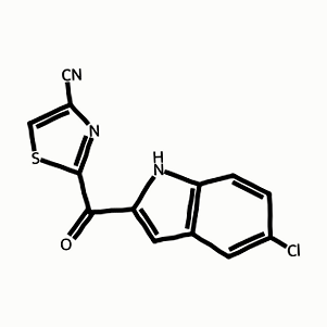 N#Cc1csc(C(=O)c2cc3cc(Cl)ccc3[nH]2)n1